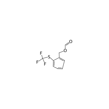 O=COCc1ccccc1SC(F)(F)F